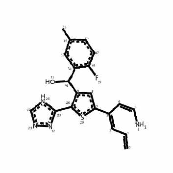 C=C/C=C(\C=C/N)c1cc(C(O)c2cc(C)ccc2F)c(-c2nnc[nH]2)s1